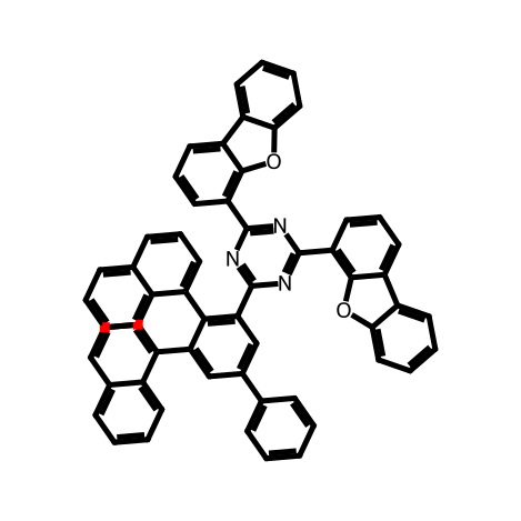 c1ccc(-c2cc(-c3nc(-c4cccc5c4oc4ccccc45)nc(-c4cccc5c4oc4ccccc45)n3)c(-c3cccc4ccccc34)c(-c3cccc4ccccc34)c2)cc1